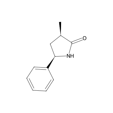 C[C@@H]1C[C@H](c2ccccc2)NC1=O